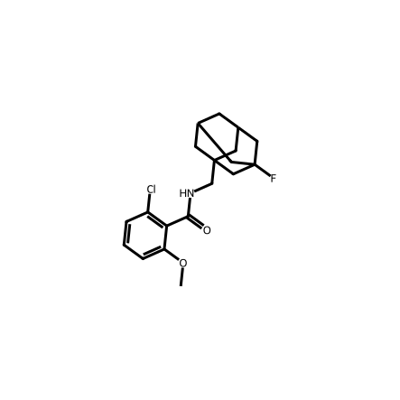 COc1cccc(Cl)c1C(=O)NCC12CC3CC(CC(F)(C3)C1)C2